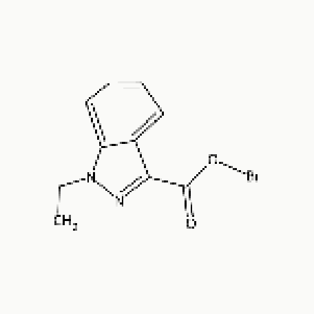 CCn1nc(C(=O)OBr)c2ccccc21